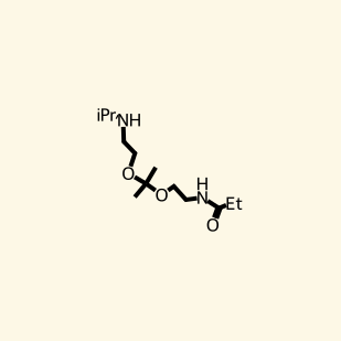 CCC(=O)NCCOC(C)(C)OCCNC(C)C